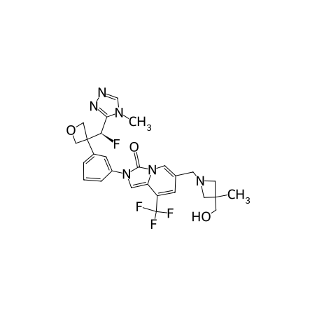 Cn1cnnc1[C@@H](F)C1(c2cccc(-n3cc4c(C(F)(F)F)cc(CN5CC(C)(CO)C5)cn4c3=O)c2)COC1